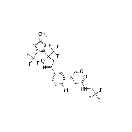 Cn1cc(C2(C(F)(F)F)CC(c3ccc(Cl)c(N(C=O)CC(=O)NCC(F)(F)F)c3)=NO2)c(C(F)(F)F)n1